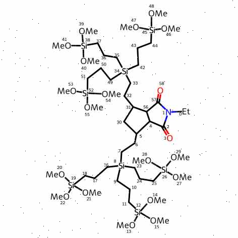 CCN1C(=O)C2C(CC[Si](CCC[Si](OC)(OC)OC)(CCC[Si](OC)(OC)OC)CCC[Si](OC)(OC)OC)CC(CC[Si](CCC[Si](OC)(OC)OC)(CCC[Si](OC)(OC)OC)CCC[Si](OC)(OC)OC)C2C1=O